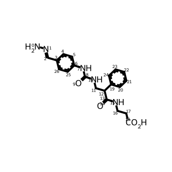 NN=Cc1ccc(NC(=O)NCC(C(=O)NCCC(=O)O)c2ccccc2)cc1